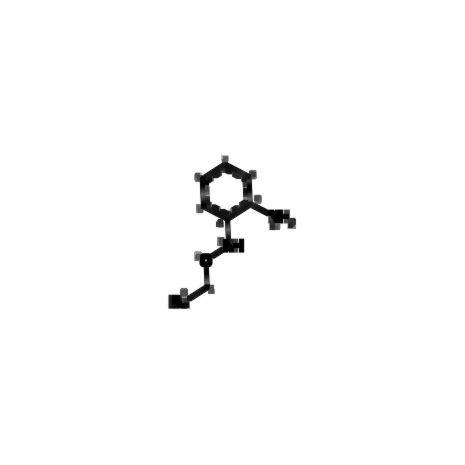 CCC(C)CONc1ccccc1N